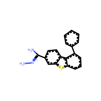 N/N=C(\N)c1ccc2c(c1)sc1cccc(-c3ccccc3)c12